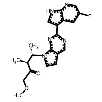 COCC(=O)[C@@H](C)[C@H](C)n1ccc2cnc(-c3c[nH]c4ncc(F)cc34)nc21